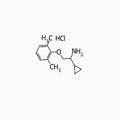 Cc1cccc(C)c1OCC(N)C1CC1.Cl